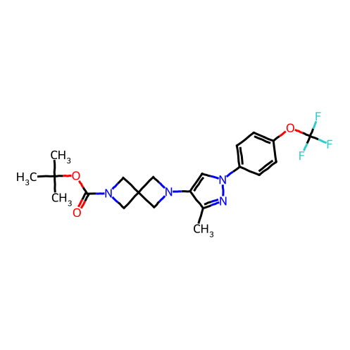 Cc1nn(-c2ccc(OC(F)(F)F)cc2)cc1N1CC2(CN(C(=O)OC(C)(C)C)C2)C1